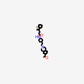 CC(=O)c1ccc2c(c1)CCN(CCC1CCC(NC(=O)/C=C/c3csc4ccccc34)CC1)CC2